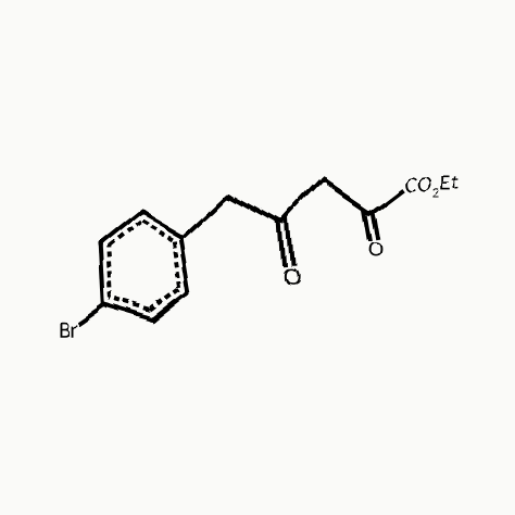 CCOC(=O)C(=O)CC(=O)Cc1ccc(Br)cc1